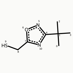 CC(C)(C)c1noc(CS)n1